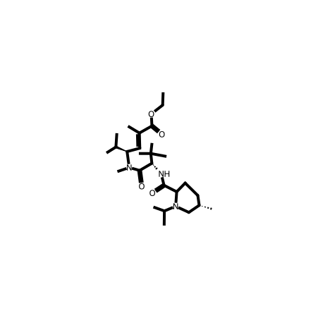 CCOC(=O)/C(C)=C/[C@H](C(C)C)N(C)C(=O)[C@@H](NC(=O)C1CC[C@H](C)CN1C(C)C)C(C)(C)C